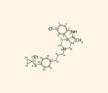 C=C1Nc2ccc(Cl)cc2C12CCN(CCCc1ccc(SC3(CC)CC3)cc1)CC2